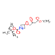 CCOC(=O)CC(=O)COC1CN(C(=O)OC(C)(C)C)C1